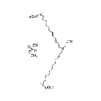 CCCCCCCC/C=C\CCCCCCCCOCCN(CCO)CCOCCCCCCCC/C=C\CCCCCCCC.COS(=O)(=O)O